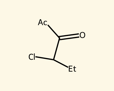 CCC(Cl)C(=O)C(C)=O